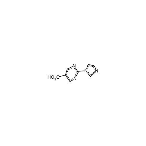 O=C(O)c1cnc(-n2ccnc2)nc1